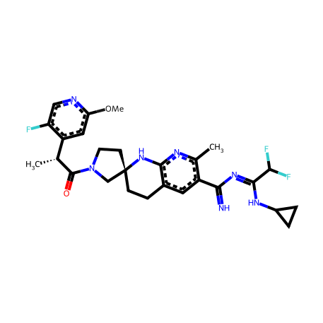 COc1cc([C@@H](C)C(=O)N2CC[C@@]3(CCc4cc(C(=N)/N=C(\NC5CC5)C(F)F)c(C)nc4N3)C2)c(F)cn1